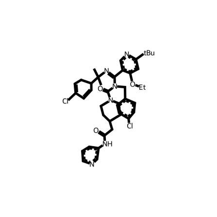 CCOc1cc(C(C)(C)C)ncc1/C(=N/C(C)(C)C1C=CC(Cl)=CC1)N(Cc1ccc(Cl)cc1)C(=O)N1CCC(CC(=O)Nc2cccnc2)CC1